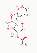 CC(=O)S[C@H]1CO[C@H]2[C@@H]1OC[C@H]2OC1CCCCO1